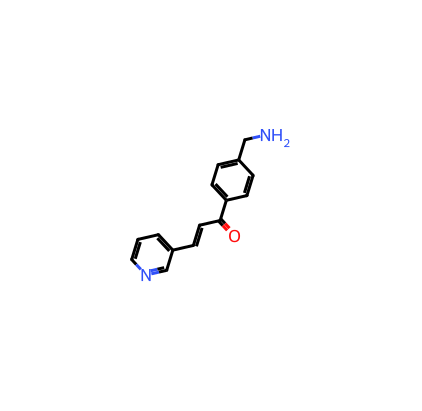 NCc1ccc(C(=O)C=Cc2cccnc2)cc1